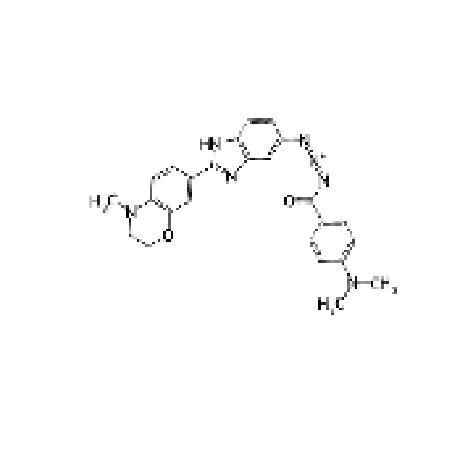 CN(C)c1ccc(C(=O)N=[N+]=Nc2ccc3[nH]c(-c4ccc5c(c4)OCCN5C)nc3c2)cc1